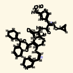 O=CNc1nc(/C(=N/OC2CC2)C(=O)N[C@@H]2C(=O)N3C(C(=O)OC(c4ccccc4)c4ccccc4)=C(S/C=C\c4cccnc4)CS[C@H]23)cs1